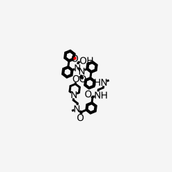 CNCCNC(=O)c1cccc(C(=O)N(C)CCN2CCC(OC(=O)N(c3ccccc3-c3ccccc3)N(C(=O)O)c3ccccc3-c3ccccc3)CC2)c1